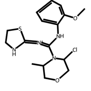 COc1ccccc1NC(=[N+]=C1NCCS1)N1C(C)COCC1Cl